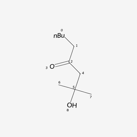 CCCCCC(=O)CC(C)(C)O